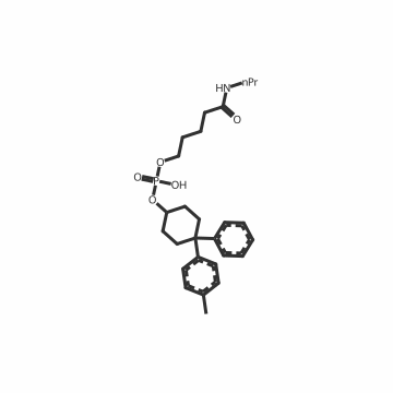 CCCNC(=O)CCCCOP(=O)(O)OC1CCC(c2ccccc2)(c2ccc(C)cc2)CC1